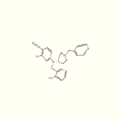 [C-]#[N+]c1ccc(N(Cc2ccccc2Cl)[C@H]2CCN(Cc3ccncc3)C2)cc1Cl